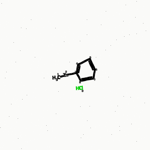 Cl.[CH3][Zn][c]1ccccc1